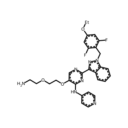 CCOc1cc(F)c(Cn2nc(-c3ncc(OCCOCCN)c(Nc4ccncc4)n3)c3ccccc32)c(F)c1